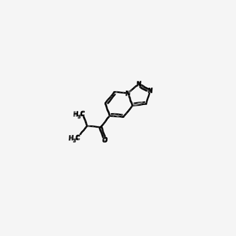 CC(C)C(=O)c1ccn2nncc2c1